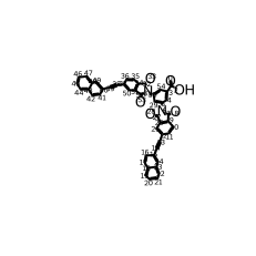 O=C(O)c1cc(N2C(=O)c3ccc(C#Cc4ccc5ccccc5c4)cc3C2=O)cc(N2C(=O)c3ccc(C#Cc4ccc5ccccc5c4)cc3C2=O)c1